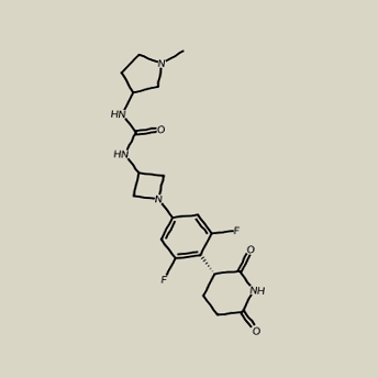 CN1CCC(NC(=O)NC2CN(c3cc(F)c([C@H]4CCC(=O)NC4=O)c(F)c3)C2)C1